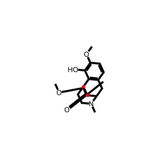 COc1ccc2c(c1O)C13CCN(C)C(C2)C1CC(=O)C(OC)C3